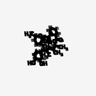 CC(=C\C1C=CC(O)C(O)C1)/C=C(\C)C(C)OC(=O)C1CCCCN1C(=O)CC1(O)OC(C)CCC1C